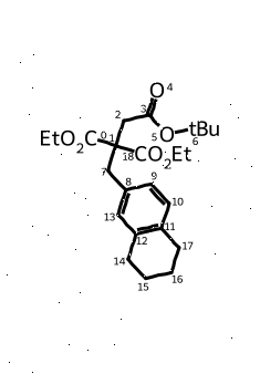 CCOC(=O)C(CC(=O)OC(C)(C)C)(Cc1ccc2c(c1)CCCC2)C(=O)OCC